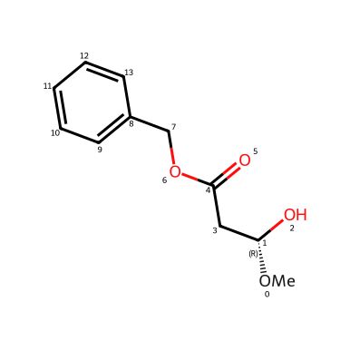 CO[C@@H](O)CC(=O)OCc1ccccc1